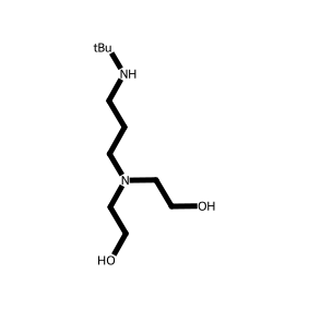 CC(C)(C)NCCCN(CCO)CCO